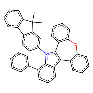 CC1(C)c2ccccc2-c2ccc(-n3c4c(c5cccc(-c6ccccc6)c53)-c3ccccc3Oc3ccccc3-4)cc21